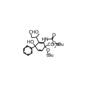 CC(CC=O)C1=C(NC(=O)OC(C)(C)C)C(OC(C)(C)C)(C(=O)O)C=CC1(O)c1ccccc1